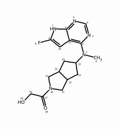 CN(c1ncnc2[nH]c(F)cc12)C1CC2CN(C(=O)CO)CC2C1